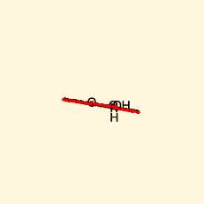 CCCCCCCCC=CCCCCCCCCCCCC(=O)CCCCCCCCCCCCCCCC(=O)N[C@H](CO)CCCCCCCCCCCCCCCCCC